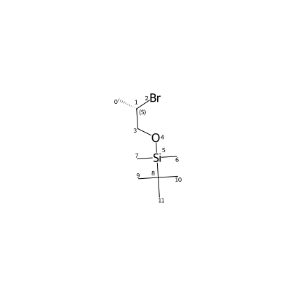 C[C@H](Br)CO[Si](C)(C)C(C)(C)C